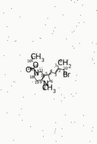 C=C/C(=C\C=C1/CN(C)C2=C1CN(C(=O)OCC)CC2)CBr